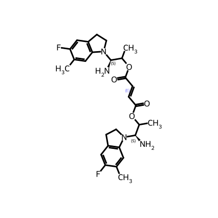 Cc1cc2c(cc1F)CCN2[C@H](N)C(C)OC(=O)/C=C/C(=O)OC(C)[C@@H](N)N1CCc2cc(F)c(C)cc21